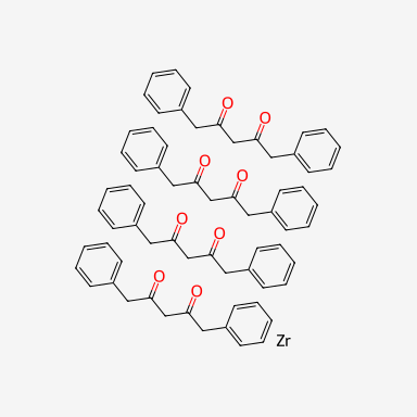 O=C(CC(=O)Cc1ccccc1)Cc1ccccc1.O=C(CC(=O)Cc1ccccc1)Cc1ccccc1.O=C(CC(=O)Cc1ccccc1)Cc1ccccc1.O=C(CC(=O)Cc1ccccc1)Cc1ccccc1.[Zr]